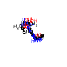 C#Cc1ccc([C@H](C)NC(=O)[C@@H]2C[C@@H](O)CN2C(=O)[C@@H](NC(=O)N2CCC(N3CCC(c4cnc(N5CCc6[nH]c7nnc(-c8ccccc8O)cc7c6[C@@H]5C)nc4)CC3)CC2)C(C)(C)CCO)cc1